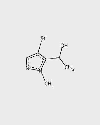 CC(O)c1c(Br)cnn1C